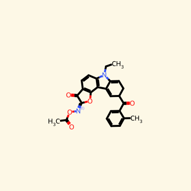 CCn1c2c(c3c4c(ccc31)C(=O)/C(=N\OC(C)=O)O4)=CC(C(=O)c1ccccc1C)CC=2